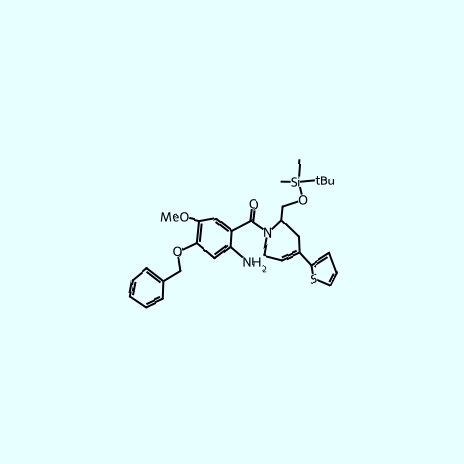 COc1cc(C(=O)N2CC=C(c3cccs3)CC2CO[Si](C)(C)C(C)(C)C)c(N)cc1OCc1ccccc1